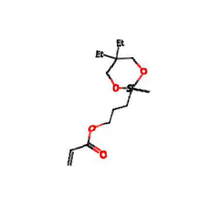 C=CC(=O)OCCC[Si]1(C)OCC(CC)(CC)CO1